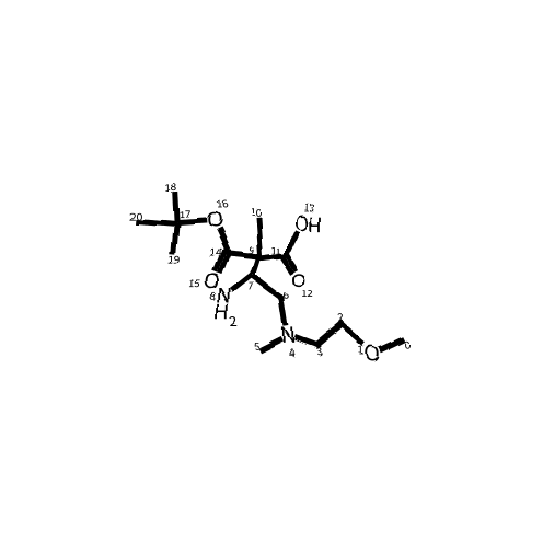 COCCN(C)CC(N)C(C)(C(=O)O)C(=O)OC(C)(C)C